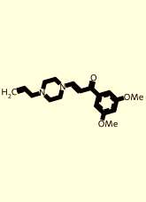 C=CCN1CCN(C=CC(=O)c2cc(OC)cc(OC)c2)CC1